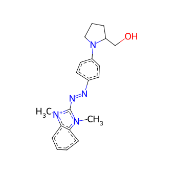 Cn1c(/N=N/c2ccc(N3CCCC3CO)cc2)[n+](C)c2ccccc21